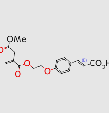 C=C(CC(=O)OC)C(=O)OCCOc1ccc(/C=C/C(=O)O)cc1